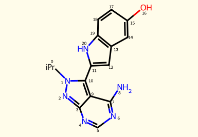 CC(C)n1nc2ncnc(N)c2c1-c1cc2cc(O)ccc2[nH]1